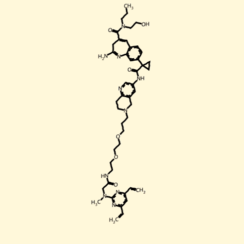 C=Cc1cc(C=C)nc(N(C)CC(=O)NCCOCCOCCCN2CCc3ncc(NC(=O)C4(c5ccc6c(c5)N=C(N)CC(C(=O)N(CCC)CCO)=C6)CC4)cc3C2)n1